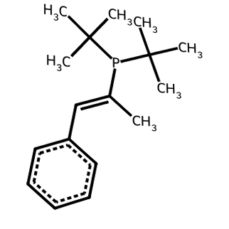 C/C(=C\c1ccccc1)P(C(C)(C)C)C(C)(C)C